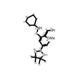 C\C=C(/C=C(SNC1CCCCC1)\C(=C\CCC)OC)B1OC(C)(C)C(C)(C)O1